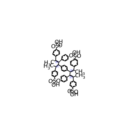 C/C(=C(\C(=C(/C)c1ccc(S(=O)(=O)O)cc1)c1ccc(C(=C(/C)c2ccc(S(=O)(=O)O)cc2)/C(=C(\C)c2ccc(S(=O)(=O)O)cc2)c2ccccc2)cc1)c1ccccc1)c1ccc(S(=O)(=O)O)cc1